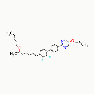 C=CCOc1cnc(-c2ccc(-c3ccc(C=CCCCC(C)OCCCCC)c(F)c3F)cc2)nc1